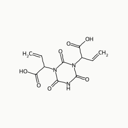 C=CC(C(=O)O)n1c(=O)[nH]c(=O)n(C(C=C)C(=O)O)c1=O